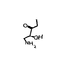 CCC(=O)[C@@H](O)CN